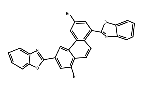 Brc1cc(-c2nc3ccccc3o2)c2ccc3c(Br)cc(-c4nc5ccccc5o4)cc3c2c1